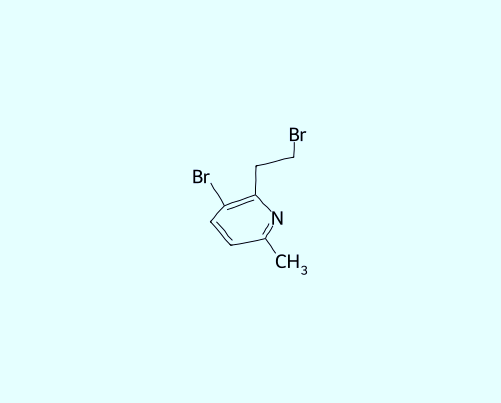 Cc1ccc(Br)c(CCBr)n1